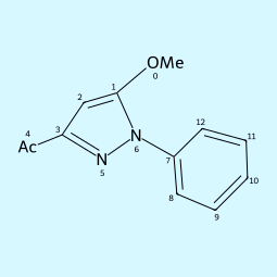 COc1cc(C(C)=O)nn1-c1ccccc1